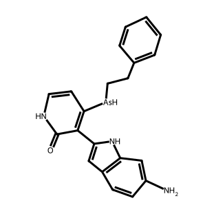 Nc1ccc2cc(-c3c([AsH]CCc4ccccc4)cc[nH]c3=O)[nH]c2c1